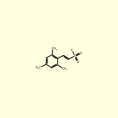 Cc1cc(C)c(/C=C/S(=O)(=O)F)c(C)c1